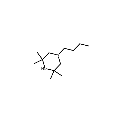 CCCCN1CC(C)(C)NC(C)(C)C1